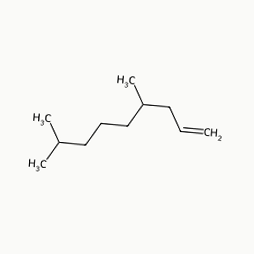 C=CCC(C)CCCC(C)C